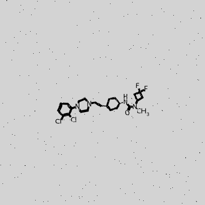 CN(C(=O)N[C@H]1CC[C@H](CCN2CCN(c3cccc(Cl)c3Cl)CC2)CC1)C1CC(F)(F)C1